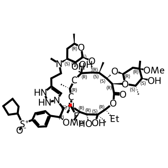 CC[C@H]1OC(=O)[C@H](C)[C@@H](O[C@H]2C[C@@](C)(OC)[C@@H](O)[C@H](C)O2)[C@H](C)[C@@H](O[C@@H]2O[C@H](C)C[C@H](N(C)CCC3=CN([C@H](CF)[C@H](OC)c4ccc([S+]([O-])C5CCCC5)cc4)NN3)[C@H]2O)[C@](C)(O)C[C@@H](C)CN(C)[C@H](C)[C@@H](O)[C@]1(C)O